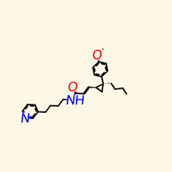 CCCC[C@]1(c2ccc(OC)cc2)C[C@H]1C=CC(=O)NCCCCc1cccnc1